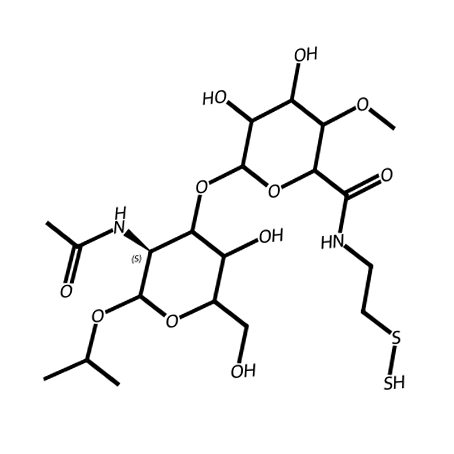 COC1C(C(=O)NCCSS)OC(OC2C(O)C(CO)OC(OC(C)C)[C@H]2NC(C)=O)C(O)C1O